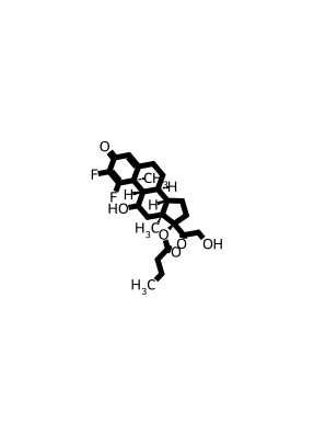 CCCC(=O)O[C@]1(C(=O)CO)CC[C@H]2[C@@H]3CCC4=CC(=O)C(F)=C(F)[C@]4(C)[C@H]3C(O)C[C@@]21C